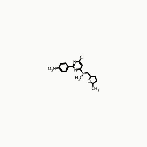 CC1CCC(CN(C)c2cc(Cl)nc(-c3ccc([N+](=O)[O-])cc3)n2)O1